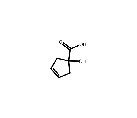 O=C(O)C1(O)CC=CC1